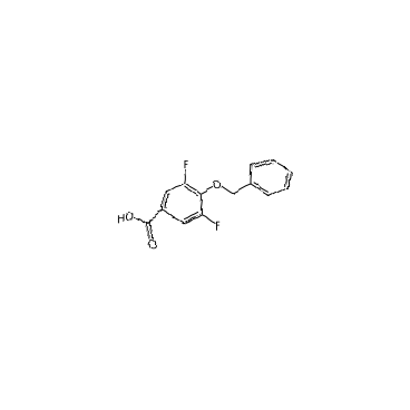 O=C(O)c1cc(F)c(OCc2ccccc2)c(F)c1